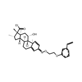 C=Cc1cccc(OCCO/N=C2\C=C[C@@]3(C)C(=C2)CC[C@H]2[C@@H]4C[C@H](C)[C@](C)(C(=O)CC)[C@@]4(C)C[C@H](O)[C@@]23Cl)c1